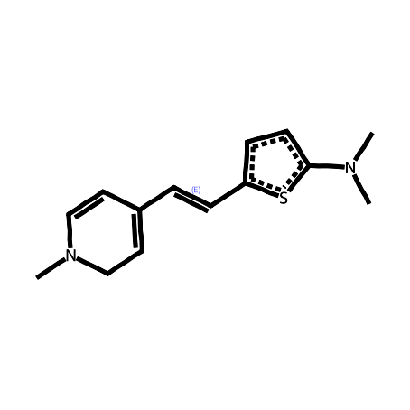 CN1C=CC(/C=C/c2ccc(N(C)C)s2)=CC1